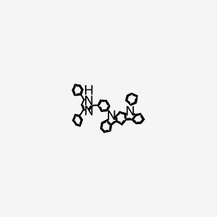 C1=C(c2ccccc2)N=C(c2cccc(-n3c4ccccc4c4cc5c6ccccc6n(-c6ccccc6)c5cc43)c2)NC1c1ccccc1